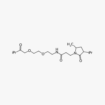 CC(C)C(=O)COCCOCCNC(=O)CCN1C(=O)C(C(C)C)CC1C